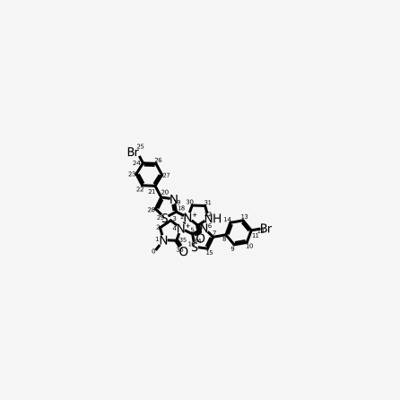 CN1CC[N+](c2nc(-c3ccc(Br)cc3)cs2)([N+]2(c3nc(-c4ccc(Br)cc4)cs3)CCNC2=O)C1=O